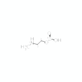 CNCCOS(=O)O